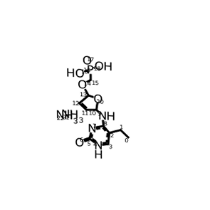 CCc1c[nH]c(=O)nc1NC1C=CC(OCP(=O)(O)O)O1.N.N